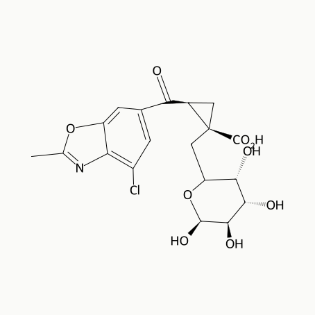 Cc1nc2c(Cl)cc(C(=O)[C@H]3C[C@@]3(CC3O[C@H](O)[C@H](O)[C@@H](O)[C@H]3O)C(=O)O)cc2o1